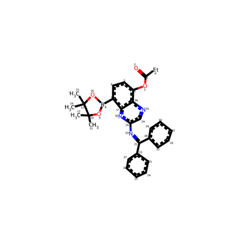 CCC(=O)Oc1ccc(B2OC(C)(C)C(C)(C)O2)c2nc(N=C(c3ccccc3)c3ccccc3)cnc12